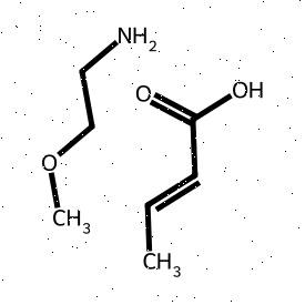 CC=CC(=O)O.COCCN